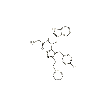 CCc1ccc(Cn2c(CCc3ccccc3)nnc2C(Cc2c[nH]c3ccccc23)NC(=O)CN)cc1